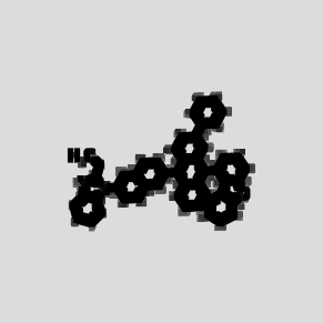 CCc1nc2ccccc2n1-c1ccc2cc(-c3c4ccccc4c(-c4cccc5oc6ccccc6c45)c4cc(-c5ccccc5)ccc34)ccc2c1